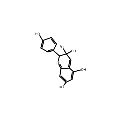 [2H]C1(O)C=c2c(O)cc(O)cc2=[O+]C1c1ccc(O)cc1